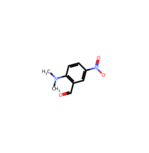 CN(C)c1ccc([N+](=O)[O-])cc1C=O